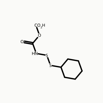 O=C(O)OC(=O)NSSC1CCCCC1